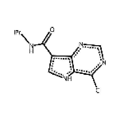 CC(C)NC(=O)c1c[nH]c2c(Cl)ncnc12